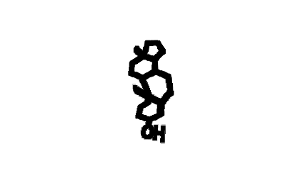 CC12CCCC1C1CCC3=CC(O)CCC3(C)C1CC2